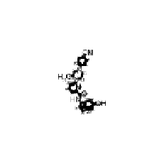 C[C@H]1CN(c2ccc(C#N)cc2)CCN1c1cccc(C(=O)NC2C3CC4CC2CC(O)(C4)C3)n1